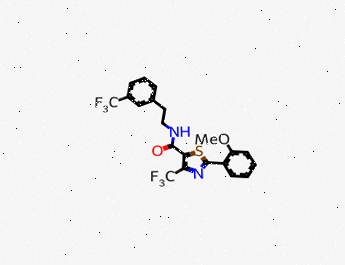 COc1ccccc1-c1nc(C(F)(F)F)c(C(=O)NCCc2cccc(C(F)(F)F)c2)s1